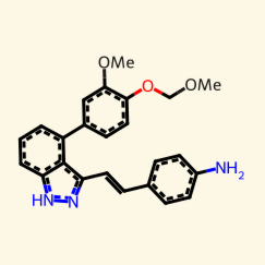 COCOc1ccc(-c2cccc3[nH]nc(C=Cc4ccc(N)cc4)c23)cc1OC